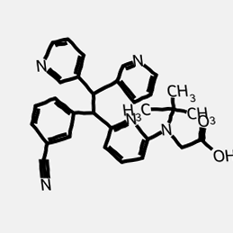 CC(C)(C)N(CC(=O)O)c1cccc(C(c2cccc(C#N)c2)C(c2cccnc2)c2cccnc2)n1